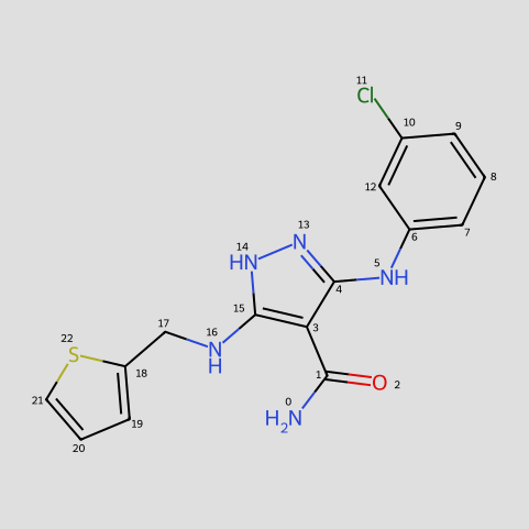 NC(=O)c1c(Nc2cccc(Cl)c2)n[nH]c1NCc1cccs1